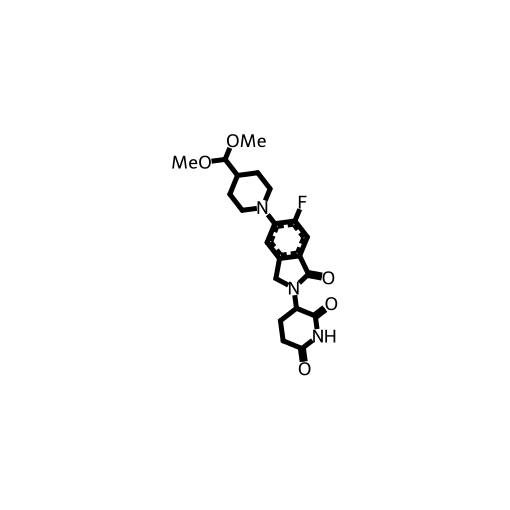 COC(OC)C1CCN(c2cc3c(cc2F)C(=O)N(C2CCC(=O)NC2=O)C3)CC1